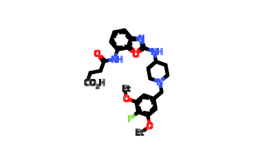 CCOc1cc(CN2CCC(Nc3nc4cccc(NC(=O)CCC(=O)O)c4o3)CC2)cc(OCC)c1F